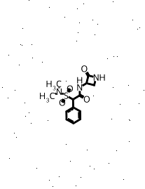 CN(C)S(=O)(=O)C(C(=O)NC1CNC1=O)c1ccccc1